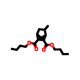 CCCCOC(=O)C1=C(C(=O)OCCCC)C2CC1CC2C